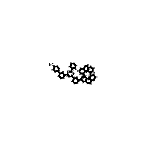 N#Cc1ccc(-c2cccc(-c3cc(-c4cccc(-c5cc6ccc7cccc8c9cccc%10ccc%11cccc(c(c5)c6c78)c%11c%109)c4)nc(-c4ccccc4)n3)c2)cc1